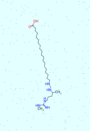 CNC(=N)NCCCC(C)NCNCCCCCCCCCCCCCCCCCCCC(=O)O